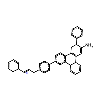 NC1=CC2=C(CC1c1ccccc1)c1ccc(-c3ccc(C/C=C/C4C=CC=CC4)cc3)cc1C1C=CC=CC21